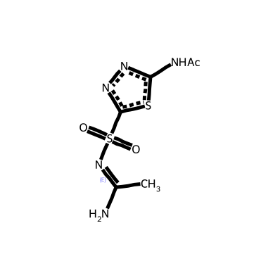 CC(=O)Nc1nnc(S(=O)(=O)/N=C(\C)N)s1